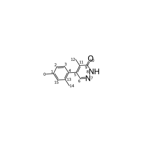 Cc1ccc(-c2cn[nH]c(=O)c2C)c(C)c1